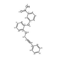 O=C(O)c1cccc(Oc2ccccc2OCC#Cc2ccccc2)c1